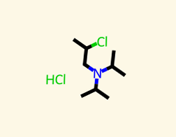 CC(Cl)CN(C(C)C)C(C)C.Cl